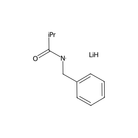 CC(C)C(=O)[N]Cc1ccccc1.[LiH]